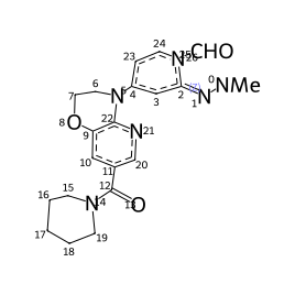 CN/N=c1/cc(N2CCOc3cc(C(=O)N4CCCCC4)cnc32)ccn1C=O